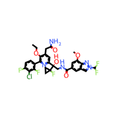 CCOc1c(CC(N)=O)cc([C@@](O)(CNC(=O)c2cc(OC)c3nn(C(F)F)cc3c2)C2(F)CC2)nc1-c1ccc(F)c(Cl)c1F